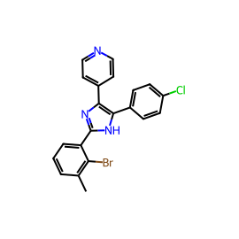 Cc1cccc(-c2nc(-c3ccncc3)c(-c3ccc(Cl)cc3)[nH]2)c1Br